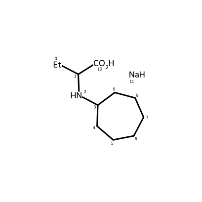 CCC(NC1CCCCCC1)C(=O)O.[NaH]